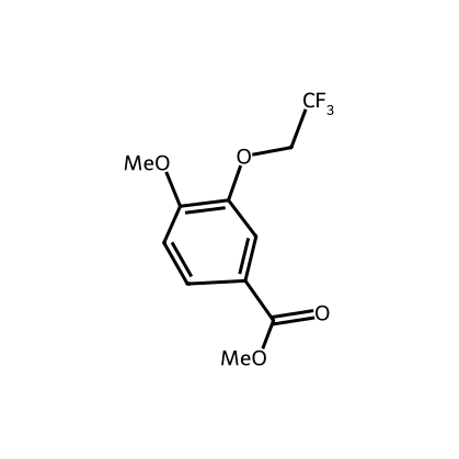 COC(=O)c1ccc(OC)c(OCC(F)(F)F)c1